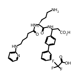 NCCC[C@H](NC(=O)CCCCNc1ccccn1)C(=O)NC(CC(=O)O)c1ccc(-c2ccccc2)cc1.O=C(O)C(F)(F)F